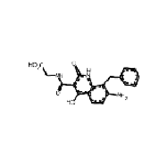 Nc1ccc2c(O)c(C(=O)NCC(=O)O)c(=O)[nH]c2c1Cc1ccccc1